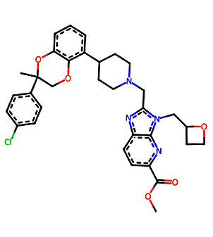 COC(=O)c1ccc2nc(CN3CCC(c4cccc5c4OCC(C)(c4ccc(Cl)cc4)O5)CC3)n(CC3CCO3)c2n1